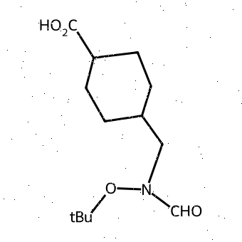 CC(C)(C)ON(C=O)CC1CCC(C(=O)O)CC1